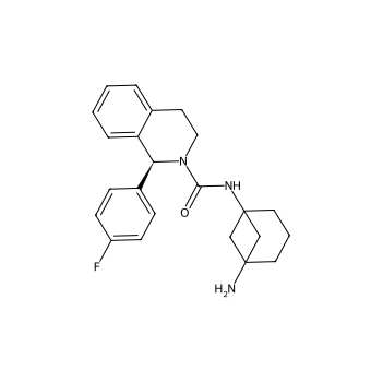 NC12CCCC(NC(=O)N3CCc4ccccc4[C@@H]3c3ccc(F)cc3)(C1)C2